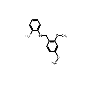 [CH2]c1ccccc1NCc1ccc(OC)cc1OC